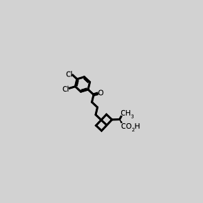 C[C@@H](C(=O)O)C1CC2(CCCC(=O)c3ccc(Cl)c(Cl)c3)CCC12